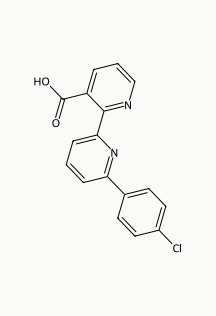 O=C(O)c1cccnc1-c1cccc(-c2ccc(Cl)cc2)n1